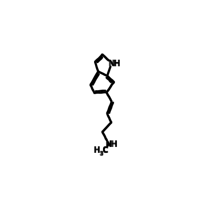 CNCCC=Cc1ccc2cc[nH]c2c1